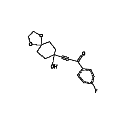 O=C(C#CC1(O)CCC2(CC1)OCCO2)c1ccc(F)cc1